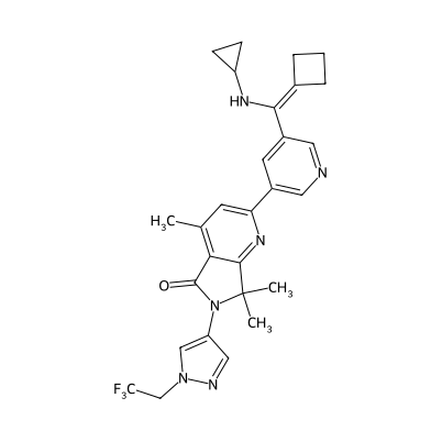 Cc1cc(-c2cncc(C(NC3CC3)=C3CCC3)c2)nc2c1C(=O)N(c1cnn(CC(F)(F)F)c1)C2(C)C